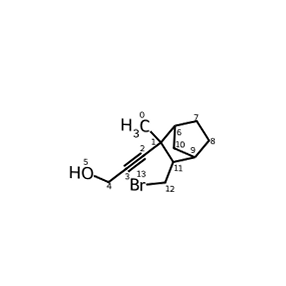 CC1(C#CCO)C2CCC(C2)C1CBr